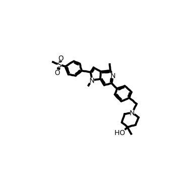 Cc1nc(-c2ccc(CN3CCC(C)(O)CC3)cc2)cc2c1cc(-c1ccc(S(C)(=O)=O)cc1)n2C